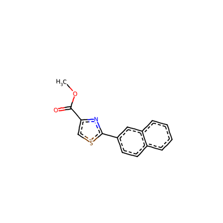 COC(=O)c1csc(-c2ccc3ccccc3c2)n1